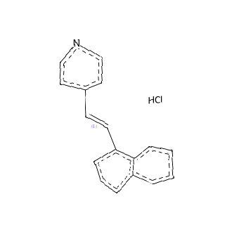 C(=C\c1cccc2ccccc12)/c1ccncc1.Cl